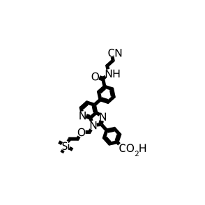 C[Si](C)(C)CCOCn1c(-c2ccc(C(=O)O)cc2)nc2c(-c3cccc(C(=O)NCCC#N)c3)ccnc21